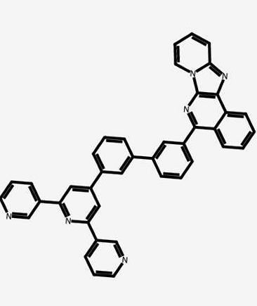 c1cc(-c2cccc(-c3nc4c(nc5ccccn54)c4ccccc34)c2)cc(-c2cc(-c3cccnc3)nc(-c3cccnc3)c2)c1